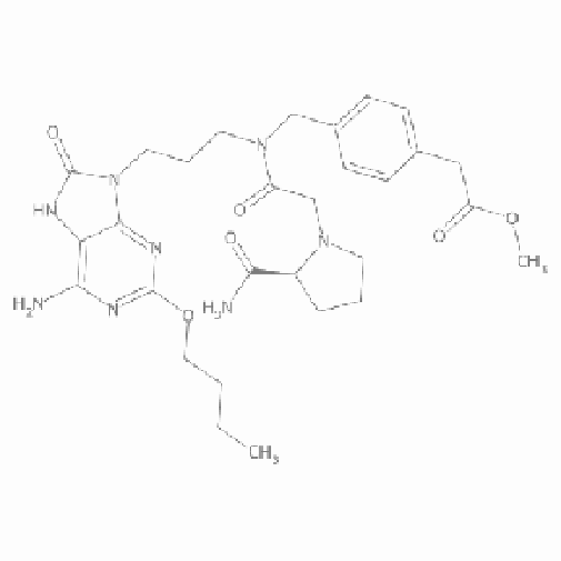 CCCCOc1nc(N)c2[nH]c(=O)n(CCCN(Cc3ccc(CC(=O)OC)cc3)C(=O)CN3CCC[C@H]3C(N)=O)c2n1